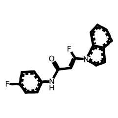 O=C(/C=C(\F)n1ccc2ccccc21)Nc1ccc(F)cc1